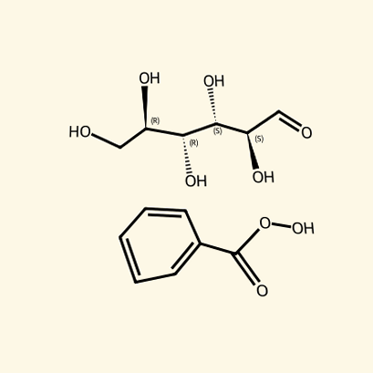 O=C(OO)c1ccccc1.O=C[C@@H](O)[C@@H](O)[C@H](O)[C@H](O)CO